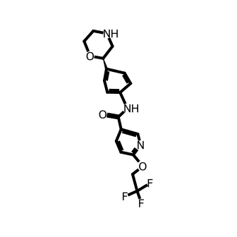 O=C(Nc1ccc([C@@H]2CNCCO2)cc1)c1ccc(OCC(F)(F)F)nc1